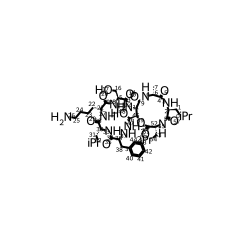 CC(C)C[C@@H]1NC(=O)[C@@H](C)NC(=O)[C@@H](NC(=O)[C@H](CO)NC(=O)[C@@H](CCCCN)NC(=O)[C@@H](CC(C)C)NC(=O)[C@@H](N)Cc2ccccc2)[C@H](C(N)O)OC(=O)[C@@H](CC(C)C)NC1=O